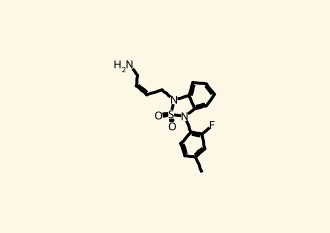 Cc1ccc(N2c3ccccc3N(C/C=C\CN)S2(=O)=O)c(F)c1